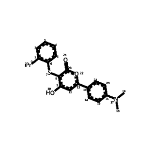 CC(C)c1ccccc1Sc1c(O)cc(-c2ccc(N(C)C)cc2)oc1=O